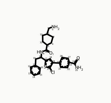 NCC1CCC(C(=O)NC(Cc2ccccc2)c2cc(-c3ccc(C(N)=O)cc3)c(Cl)s2)CC1